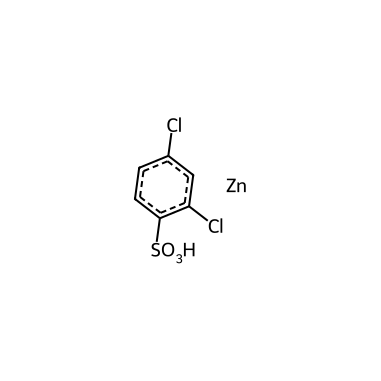 O=S(=O)(O)c1ccc(Cl)cc1Cl.[Zn]